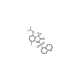 Cc1ccc(OC(C)C)c(C2(C(=O)NS(=O)(=O)c3cccc4ncccc34)CC2)c1